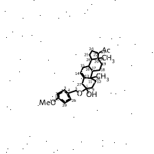 COc1ccc(COC2(O)CCC3(C)C(=CCC4C3CCC3(C)C(C(C)=O)CCC43)C2)cc1